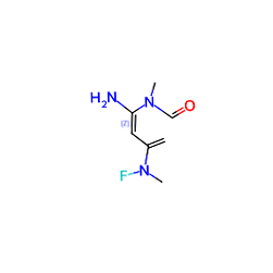 C=C(/C=C(/N)N(C)C=O)N(C)F